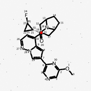 COc1cncc(-c2cc3c(N4CC5CCC(C4)N5C(=O)[C@@H]4C[C@H]4F)ccnn3c2)n1